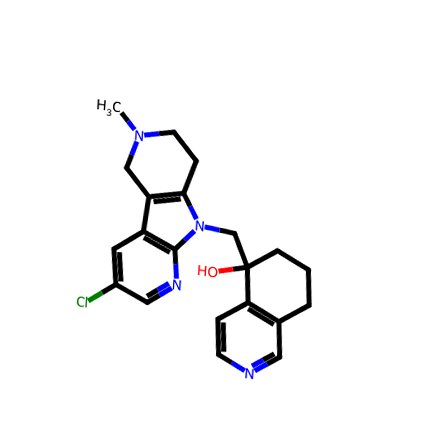 CN1CCc2c(c3cc(Cl)cnc3n2CC2(O)CCCc3cnccc32)C1